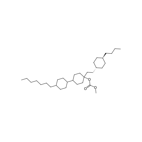 CCCCCCCC1CCC(C2CCC(CC[C@H]3CC[C@H](CCCC)CC3)(OC(=O)OC)CC2)CC1